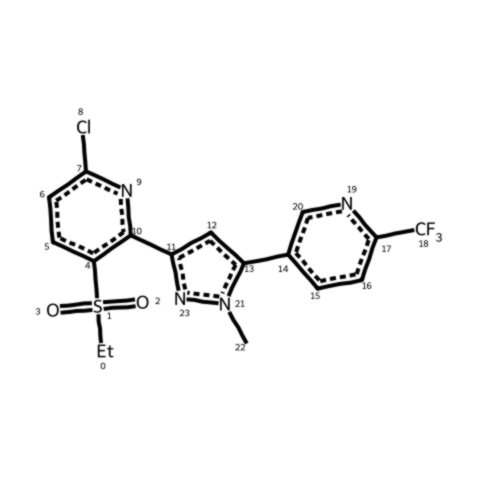 CCS(=O)(=O)c1ccc(Cl)nc1-c1cc(-c2ccc(C(F)(F)F)nc2)n(C)n1